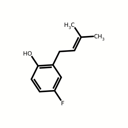 CC(C)=CCc1cc(F)ccc1O